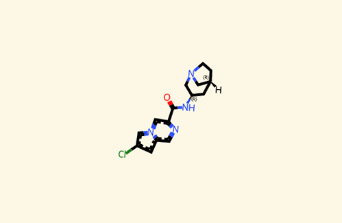 O=C(N[C@@H]1C[C@H]2CCN(C2)C1)c1cn2cc(Cl)cc2cn1